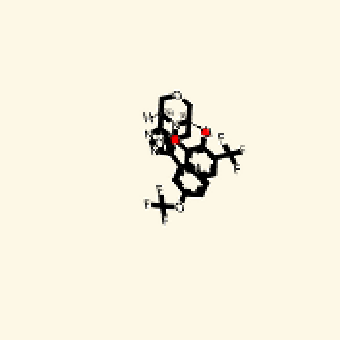 O=C(c1cccc(C(F)(F)F)c1Cl)N1[C@H]2COC[C@@H]1c1nnc(-c3cc(OC(F)(F)F)ccn3)n1C2